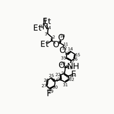 CCC(CCCN(CC)CC)OC(=O)COc1cccc(NC(=O)c2cc(-c3cccc(F)c3)ccc2F)c1